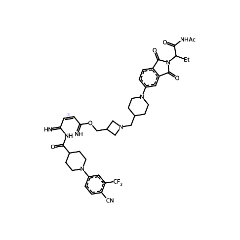 CCC(C(=O)NC(C)=O)N1C(=O)c2ccc(N3CCC(CN4CC(COC(=N)/C=C\C(=N)NC(=O)C5CCN(c6ccc(C#N)c(C(F)(F)F)c6)CC5)C4)CC3)cc2C1=O